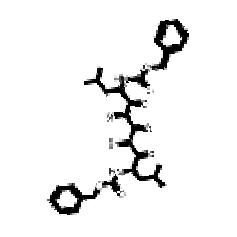 CC(C)CC(NC(=O)OCc1ccccc1)C(=O)C(Br)C(=O)C(Br)C(=O)C(CC(C)C)NC(=O)OCc1ccccc1